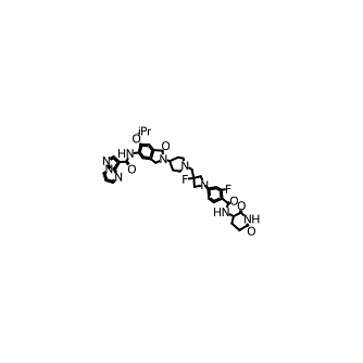 CC(C)Oc1cc2c(cc1NC(=O)c1cnn3cccnc13)CN(C1CCN(CC3(F)CN(c4ccc(C(=O)NC5CCC(=O)NC5=O)c(F)c4)C3)CC1)C2=O